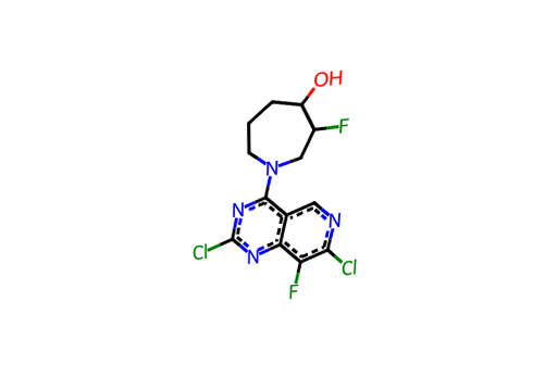 OC1CCCN(c2nc(Cl)nc3c(F)c(Cl)ncc23)CC1F